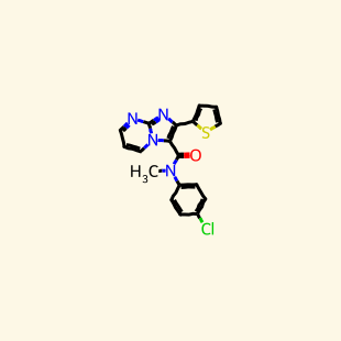 CN(C(=O)c1c(-c2cccs2)nc2ncccn12)c1ccc(Cl)cc1